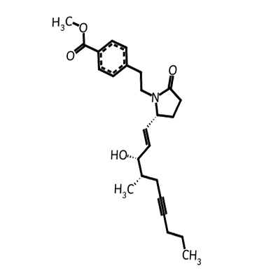 CCCC#CC[C@H](C)[C@H](O)C=C[C@H]1CCC(=O)N1CCc1ccc(C(=O)OC)cc1